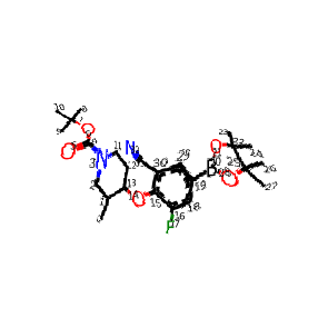 CC1CN(C(=O)OC(C)(C)C)CCC1Oc1c(F)cc(B2OC(C)(C)C(C)(C)O2)cc1C#N